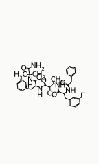 CC(NC(=O)C(Cc1cccc(F)c1)NC(=O)Cc1ccccc1)C(=O)C(=O)NC(Cc1ccccc1)C(=O)NC(C)(C)C(N)=O